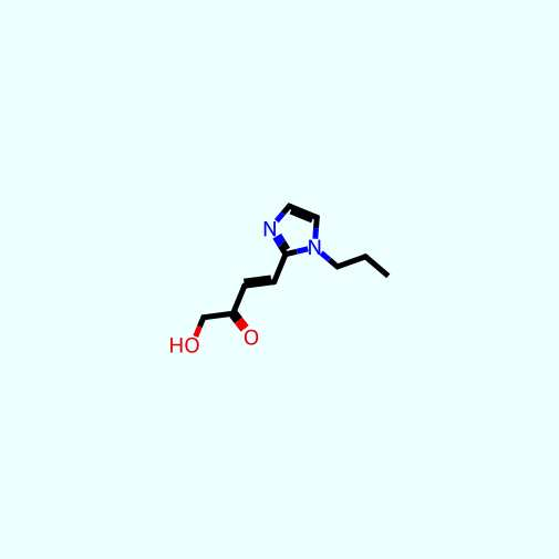 CCCn1ccnc1/C=C/C(=O)CO